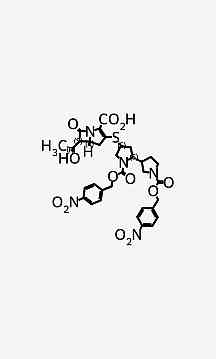 C[C@@H](O)[C@H]1C(=O)N2C(C(=O)O)=C(S[C@H]3C[C@@H](C4CCN(C(=O)OCc5ccc([N+](=O)[O-])cc5)C4)N(C(=O)OCc4ccc([N+](=O)[O-])cc4)C3)C[C@H]12